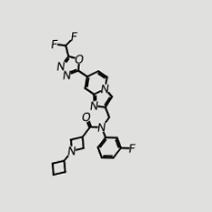 O=C(C1CN(C2CCC2)C1)N(Cc1cn2ccc(-c3nnc(C(F)F)o3)cc2n1)c1cccc(F)c1